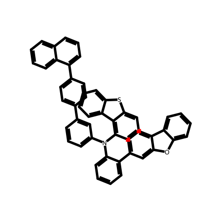 c1cc(-c2ccc(-c3cccc4ccccc34)cc2)cc(N(c2ccccc2-c2ccc3c(c2)oc2ccccc23)c2cccc3sc4ccccc4c23)c1